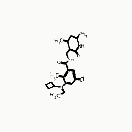 CCN(c1cc(Cl)cc(C(=O)NCC2C(=O)NC(C)CC2C)c1C)C1CCC1